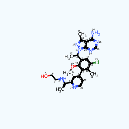 C=C(NCCO)c1cc(-c2c(C)c(Cl)cc(C(C)n3nc(C)c4c(N)ncnc43)c2OC)ccn1